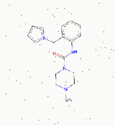 CN1CCN(C(=O)Nc2ccccc2Cn2cccc2)CC1